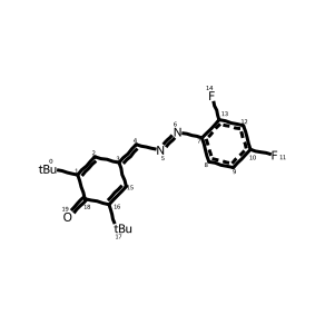 CC(C)(C)C1=CC(=CN=Nc2ccc(F)cc2F)C=C(C(C)(C)C)C1=O